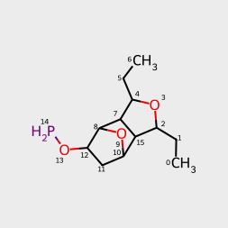 CCC1OC(CC)C2C3OC(CC3OP)C12